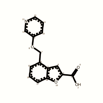 O=C(O)c1cc2c(COc3cccnc3)cccc2o1